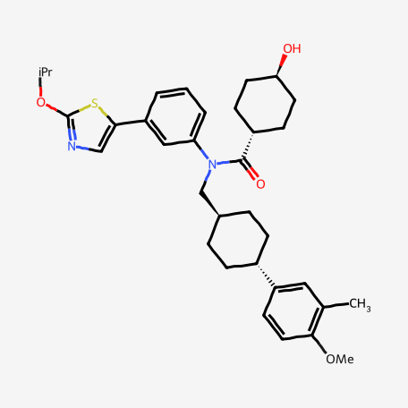 COc1ccc([C@H]2CC[C@H](CN(c3cccc(-c4cnc(OC(C)C)s4)c3)C(=O)[C@H]3CC[C@H](O)CC3)CC2)cc1C